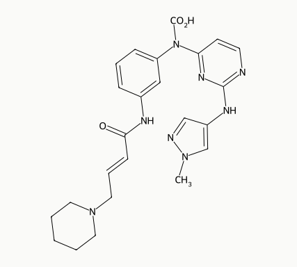 Cn1cc(Nc2nccc(N(C(=O)O)c3cccc(NC(=O)C=CCN4CCCCC4)c3)n2)cn1